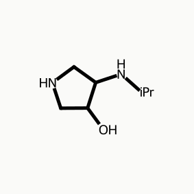 CC(C)NC1CNCC1O